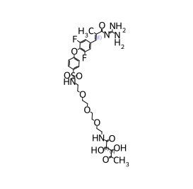 CC(=O)[C@H](O)[C@@H](O)C(=O)NCCOCCOCCOCCNS(=O)(=O)c1ccc(Oc2c(F)cc(/C=C(\C)C(=O)N=C(N)N)cc2F)cc1